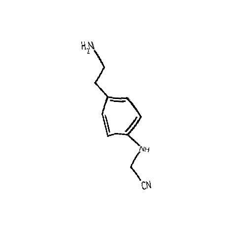 N#CCNc1ccc(CCN)cc1